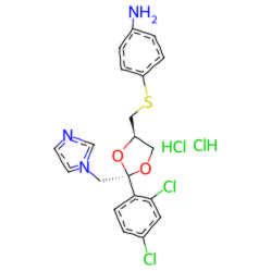 Cl.Cl.Nc1ccc(SC[C@H]2CO[C@@](Cn3ccnc3)(c3ccc(Cl)cc3Cl)O2)cc1